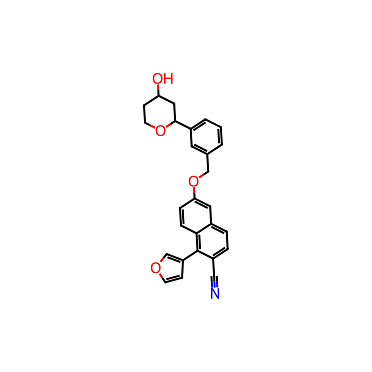 N#Cc1ccc2cc(OCc3cccc(C4CC(O)CCO4)c3)ccc2c1-c1ccoc1